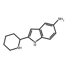 Nc1ccc2[nH]c(C3CCCCN3)cc2c1